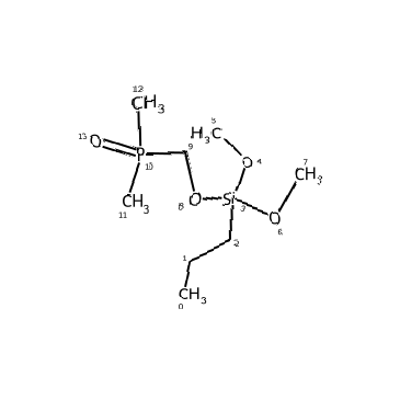 CCC[Si](OC)(OC)OCP(C)(C)=O